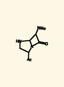 CNC1C(=O)N2C(C(C)=O)CNC12